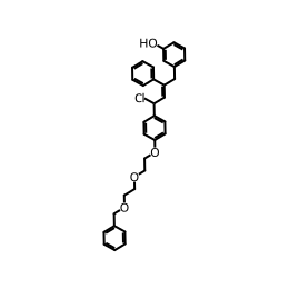 Oc1cccc(C/C(=C/C(Cl)c2ccc(OCCOCCOCc3ccccc3)cc2)c2ccccc2)c1